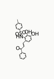 Cc1ccc(S(=O)(=O)Nc2c(/C=C/C(=O)c3ccccc3)ccc(O)c2O)cc1